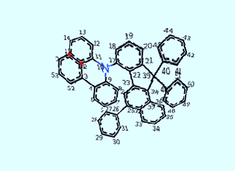 c1ccc(-c2ccccc2N(c2ccccc2)c2cccc3c2-c2cc(-c4ccccc4)c4ccccc4c2C3(c2ccccc2)c2ccccc2)cc1